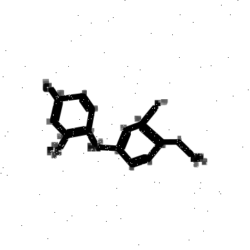 NCc1ccc(Nc2ccc(Cl)cc2C(F)(F)F)cc1F